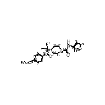 COc1ccc([S+]([O-])C(C)(F)C2CCN(C(=O)Nc3ccon3)CC2)cn1